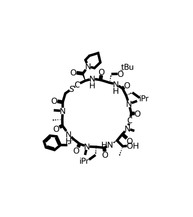 CC(C)C[C@H]1C(=O)N[C@@H](COC(C)(C)C)C(=O)N[C@H](C(=O)N2CCCCC2)CSCC(=O)N(C)[C@@H](C)C(=O)N[C@@H](Cc2ccccc2)C(=O)N(C)[C@@H](CC(C)C)C(=O)N[C@@H]([C@@H](C)O)C(=O)N(C)CC(=O)N1C